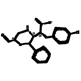 O=C[C@H]1CN[C@H]([C@H](Cc2ccc(Cl)cc2)[N+](=O)[O-])C(c2ccccc2)O1